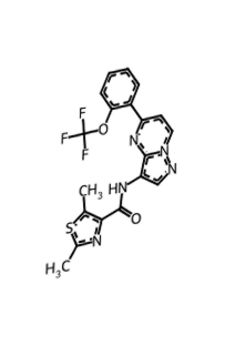 Cc1nc(C(=O)Nc2cnn3ccc(-c4ccccc4OC(F)(F)F)nc23)c(C)s1